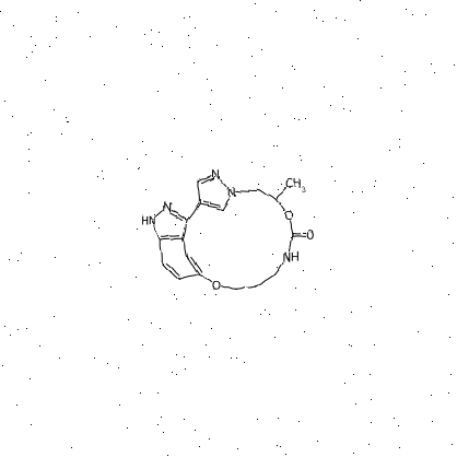 CC1Cn2cc(cn2)-c2n[nH]c3ccc(cc23)OCCCNC(=O)O1